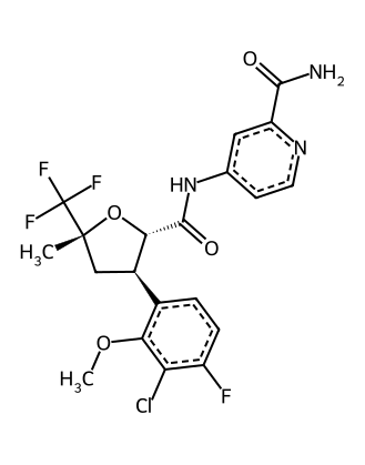 COc1c([C@H]2C[C@](C)(C(F)(F)F)O[C@@H]2C(=O)Nc2ccnc(C(N)=O)c2)ccc(F)c1Cl